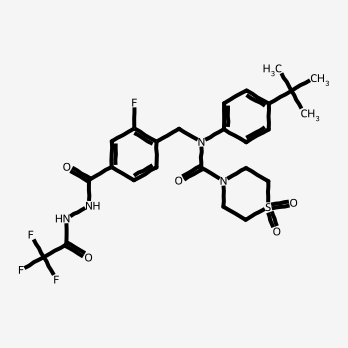 CC(C)(C)c1ccc(N(Cc2ccc(C(=O)NNC(=O)C(F)(F)F)cc2F)C(=O)N2CCS(=O)(=O)CC2)cc1